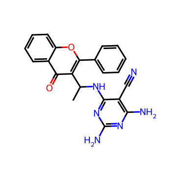 CC(Nc1nc(N)nc(N)c1C#N)c1c(-c2ccccc2)oc2ccccc2c1=O